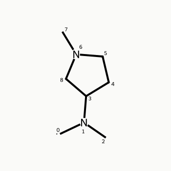 [CH2]N(C)C1CCN(C)C1